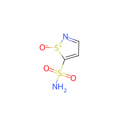 NS(=O)(=O)c1ccn[s+]1[O-]